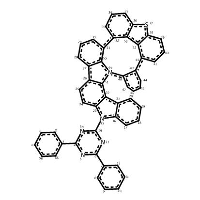 c1ccc(-c2nc(-c3ccccc3)nc(-n3c4ccccc4c4c3ccc3c5cccc6c7cccc8sc9cccc(c%10ccccc%10n(c65)c34)c9c87)n2)cc1